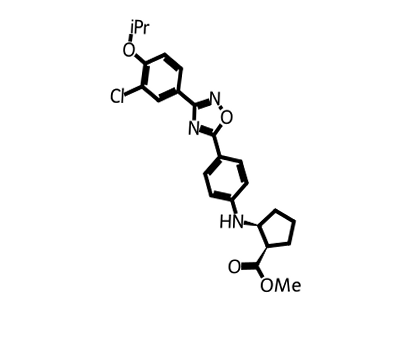 COC(=O)[C@@H]1CCC[C@@H]1Nc1ccc(-c2nc(-c3ccc(OC(C)C)c(Cl)c3)no2)cc1